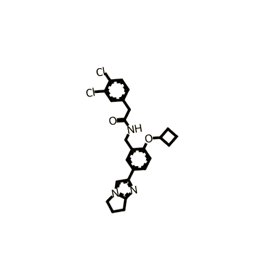 O=C(Cc1ccc(Cl)c(Cl)c1)NCc1cc(-c2cn3c(n2)CCC3)ccc1OC1CCC1